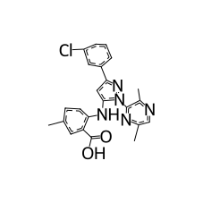 Cc1ccc(Nc2cc(-c3cccc(Cl)c3)nn2-c2nc(C)cnc2C)c(C(=O)O)c1